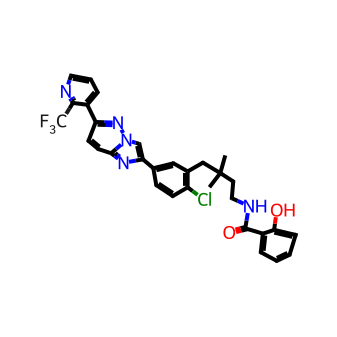 CC(C)(CCNC(=O)c1ccccc1O)Cc1cc(-c2cn3nc(-c4cccnc4C(F)(F)F)ccc3n2)ccc1Cl